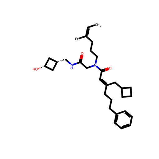 C/C=C(/CC)CCCN(CC(=O)NC[C@H]1C[C@@H](O)C1)C(=O)/C=C(/CCCc1ccccc1)CC1CCC1